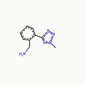 Cn1nnc(-c2ccccc2CN)n1